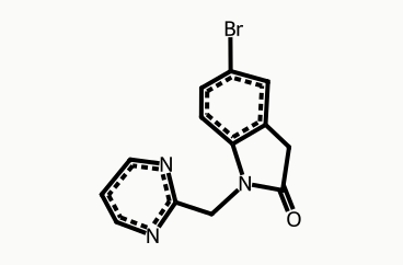 O=C1Cc2cc(Br)ccc2N1Cc1ncccn1